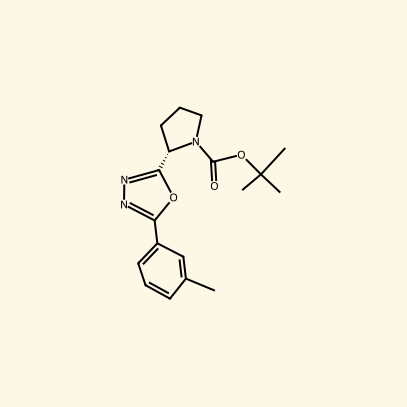 Cc1cccc(-c2nnc([C@@H]3CCCN3C(=O)OC(C)(C)C)o2)c1